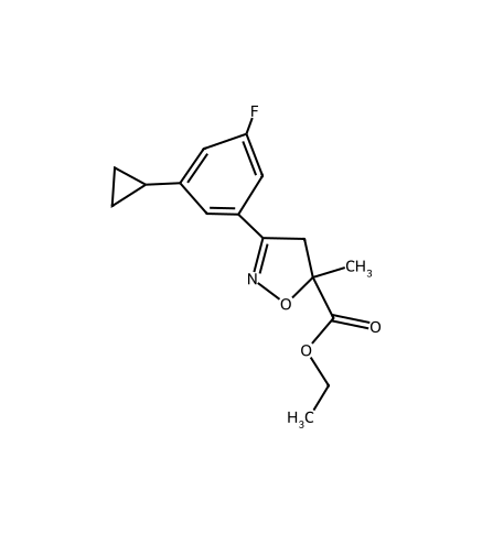 CCOC(=O)C1(C)CC(c2cc(F)cc(C3CC3)c2)=NO1